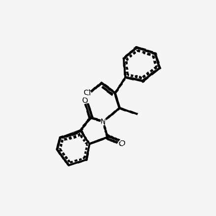 CC(/C(=C\Cl)c1ccccc1)N1C(=O)c2ccccc2C1=O